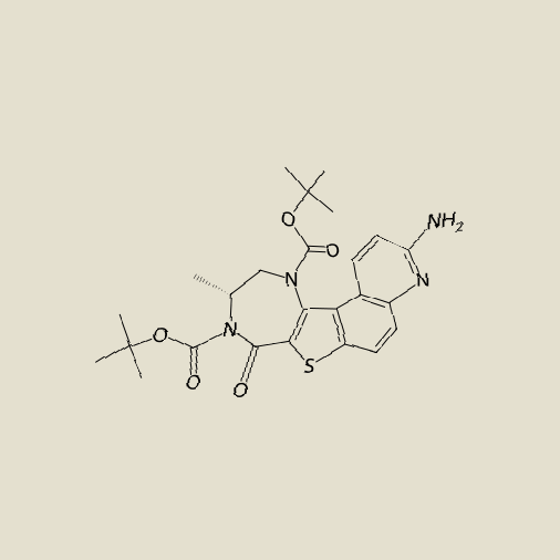 C[C@@H]1CN(C(=O)OC(C)(C)C)c2c(sc3ccc4nc(N)ccc4c23)C(=O)N1C(=O)OC(C)(C)C